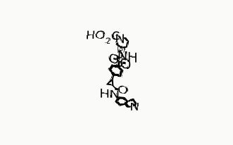 O=C(Nc1ccc2cnccc2c1)C1CC1c1ccc(S(=O)(=O)NC[C@H]2CCCN(C(=O)O)C2)cc1